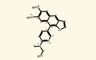 COc1cc2cc3ccoc3c(-c3ccc(N(C)CC(C)C)nc3)c2cc1OC